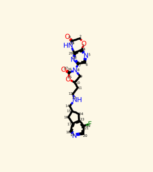 O=C1COc2ncc(N3CC(CCNCC4Cc5cncc(F)c5C4)OC3=O)nc2N1